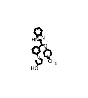 CN1CCC(OC(c2cccc(N3CCC(O)C3)c2)c2nc3ccccc3[nH]2)CC1